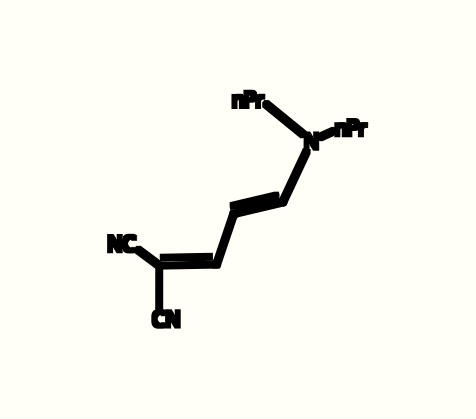 CCCN(C=CC=C(C#N)C#N)CCC